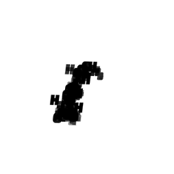 CC(C)(C)OC(=O)NCC1COc2c(S(N)(=O)=NC(=O)Nc3c4c(cc5c3CCC5=O)CCC4)cnn2C1